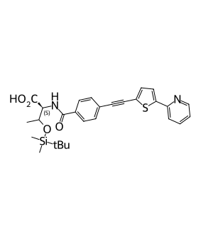 CC(O[Si](C)(C)C(C)(C)C)[C@H](NC(=O)c1ccc(C#Cc2ccc(-c3ccccn3)s2)cc1)C(=O)O